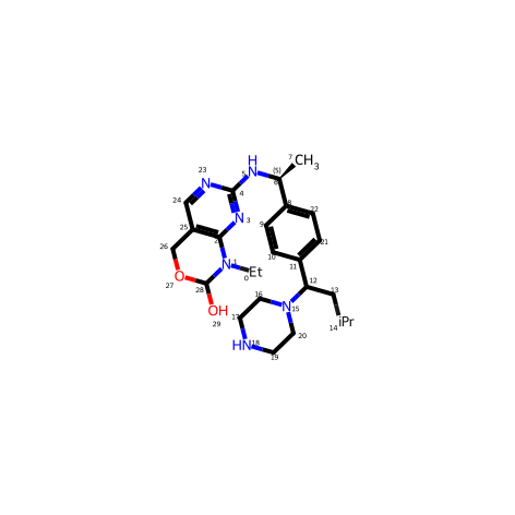 CCN1c2nc(N[C@@H](C)c3ccc(C(CC(C)C)N4CCNCC4)cc3)ncc2COC1O